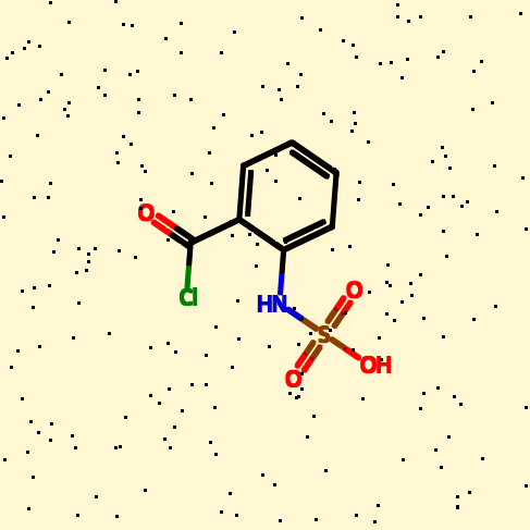 O=C(Cl)c1ccccc1NS(=O)(=O)O